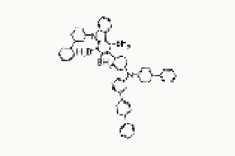 Bc1c(-c2ccc3c(c2)c2ccc(-c4ccc(-c5ccccc5)cc4)cc2n3-c2ccc(-c3ccccc3)cc2)c(B)c2c3ccccc3n(-c3cccc(-c4ccccc4)c3)c2c1B